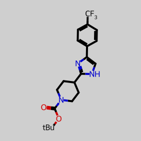 CC(C)(C)OC(=O)N1CCC(c2nc(-c3ccc(C(F)(F)F)cc3)c[nH]2)CC1